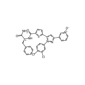 NC(=O)[C@H](Cc1ccccc1)NC(=O)c1ccc(-c2cc(-c3ccc[n+]([O-])c3)nn2-c2ccc(Cl)c(Cl)c2)s1